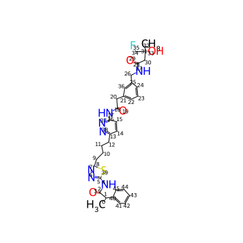 CC(C(=O)Nc1nnc(CCCCc2ccc(NC(=O)Cc3cccc(CNC(=O)CC(C)(O)CF)c3)nn2)s1)c1ccccc1